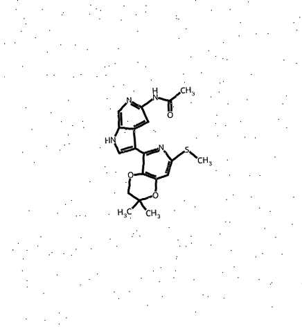 CSc1cc2c(c(-c3c[nH]c4cnc(NC(C)=O)cc34)n1)OCC(C)(C)O2